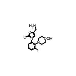 Cl.NCc1cn(-c2cccc(F)c2N2CCOCC2)c(=O)o1